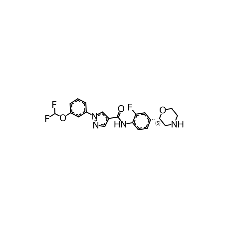 O=C(Nc1ccc([C@H]2CNCCO2)cc1F)c1cnn(-c2cccc(OC(F)F)c2)c1